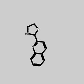 c1ccc2nc(C3NCCO3)ccc2c1